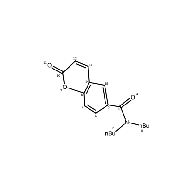 CCCCN(CCCC)C(=O)c1ccc2oc(=O)ccc2c1